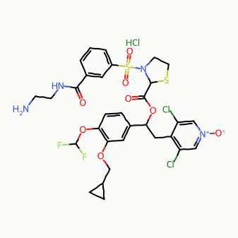 Cl.NCCNC(=O)c1cccc(S(=O)(=O)N2CCSC2C(=O)OC(Cc2c(Cl)c[n+]([O-])cc2Cl)c2ccc(OC(F)F)c(OCC3CC3)c2)c1